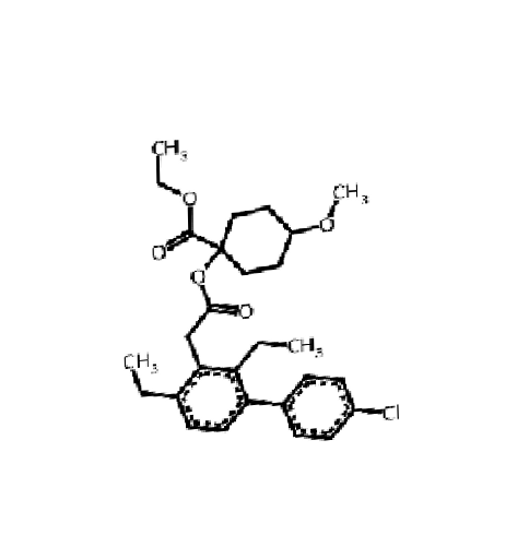 CCOC(=O)C1(OC(=O)Cc2c(CC)ccc(-c3ccc(Cl)cc3)c2CC)CCC(OC)CC1